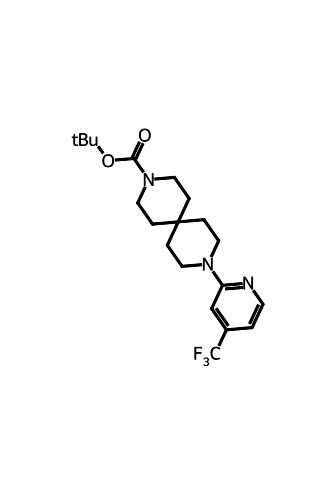 CC(C)(C)OC(=O)N1CCC2(CC1)CCN(c1cc(C(F)(F)F)ccn1)CC2